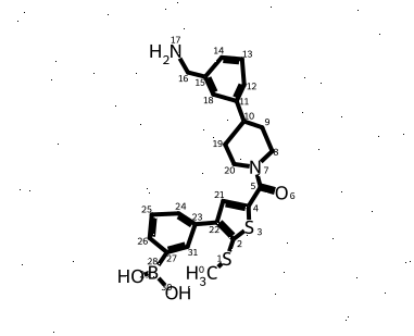 CSc1sc(C(=O)N2CCC(c3cccc(CN)c3)CC2)cc1-c1cccc(B(O)O)c1